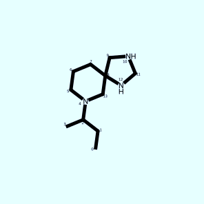 CCC(C)N1CCCC2(CNCN2)C1